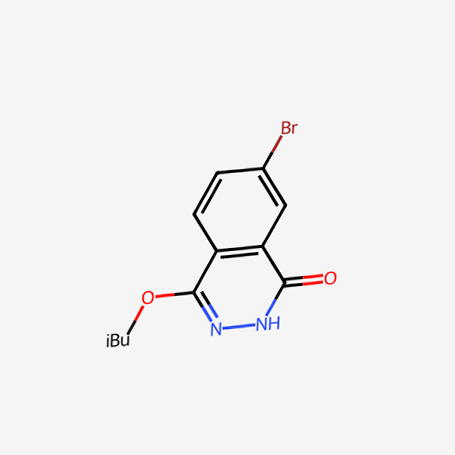 CCC(C)Oc1n[nH]c(=O)c2cc(Br)ccc12